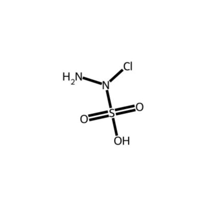 NN(Cl)S(=O)(=O)O